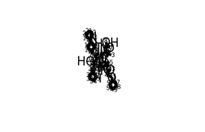 CC(C)(C)[C@H](NC(=O)O)C(=O)N[C@@H](Cc1ccc(-c2ccccn2)cc1)C[C@H](O)[C@H](Cc1ccccc1)NC(=O)[C@@H](NC(=O)COc1ccccc1)C(C)(C)C